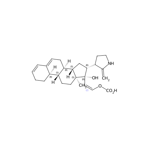 C=C1NCCC1[C@H]1C[C@H]2[C@@H]3CC=C4C=CCC[C@@H]4[C@H]3CC[C@]2(C)[C@]1(O)/C=C\OC(=O)O